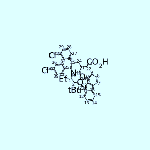 CC[C@@H](CO[Si](c1ccccc1)(c1ccccc1)C(C)(C)C)N1C(=O)[C@H](CC(=O)O)C[C@H](c2cccc(Cl)c2)[C@H]1c1ccc(Cl)cc1